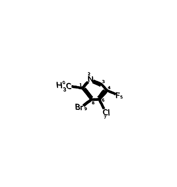 Cc1ncc(F)c(Cl)c1Br